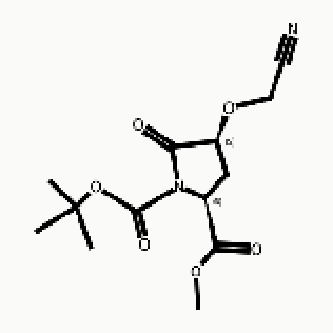 COC(=O)[C@@H]1C[C@H](OCC#N)C(=O)N1C(=O)OC(C)(C)C